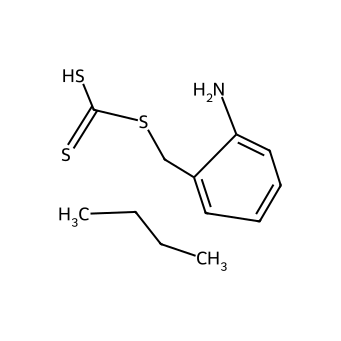 CCCC.Nc1ccccc1CSC(=S)S